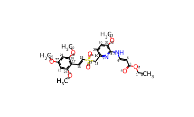 CCOC(=O)/C=C/Nc1nc(CS(=O)(=O)/C=C/c2c(OC)cc(OC)cc2OC)ccc1OC